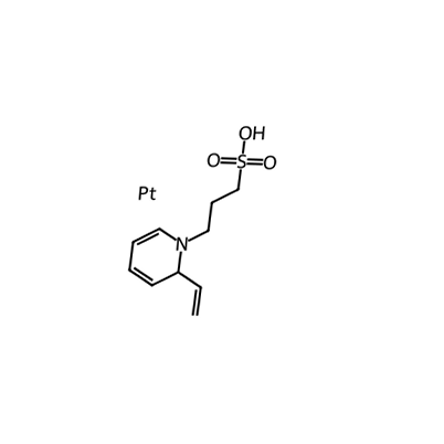 C=CC1C=CC=CN1CCCS(=O)(=O)O.[Pt]